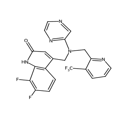 O=c1cc(CN(Cc2ncccc2C(F)(F)F)c2cnccn2)c2ccc(F)c(F)c2[nH]1